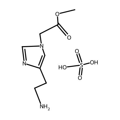 COC(=O)Cn1cnc(CCN)c1.O=S(=O)(O)O